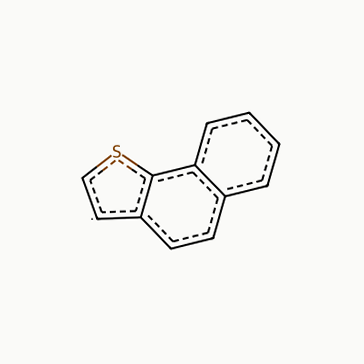 [c]1csc2c1ccc1ccccc12